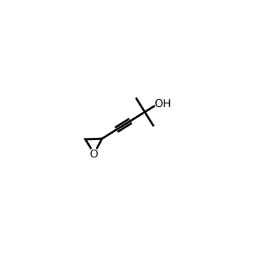 CC(C)(O)C#CC1CO1